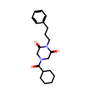 O=C(C1CCCCC1)N1CC(=O)N(CCCc2ccccc2)C(=O)C1